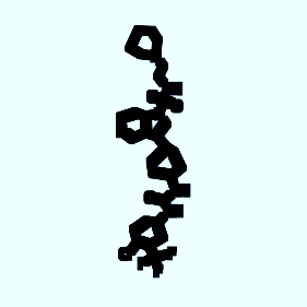 O=C(Nc1ccc(-c2cn(S(=O)(=O)NCCN3CCCCC3)c3ccncc23)cc1)Nc1ccc(Cl)c(C(F)(F)F)c1